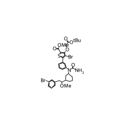 COC(=O)c1sc(-c2cccc(N(C(N)=O)C3CCCC(C(Cc4cccc(Br)c4)OC)C3)c2)c(Br)c1OCC(=O)OC(C)(C)C